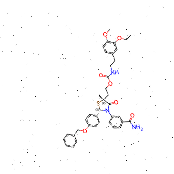 CCOc1cc(CCNC(=O)OCC[C@@]2(C)S[C@@H](c3ccc(OCc4ccccc4)cc3)N(c3cccc(C(N)=O)c3)C2=O)ccc1OC